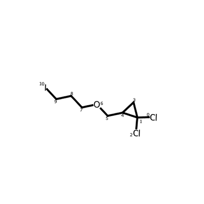 ClC1(Cl)CC1COCCCI